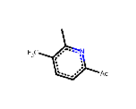 CC(=O)c1ccc(C(F)(F)F)c(C)n1